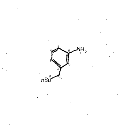 CCCC[CH]c1cccc(N)c1